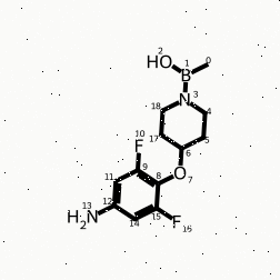 CB(O)N1CCC(Oc2c(F)cc(N)cc2F)CC1